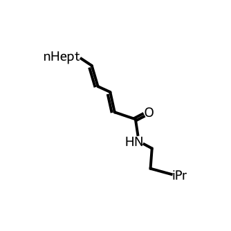 CCCCCCC/C=C/C=C/C(=O)NCCC(C)C